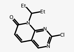 CCC(CC)n1c(=O)ccc2cnc(Cl)nc21